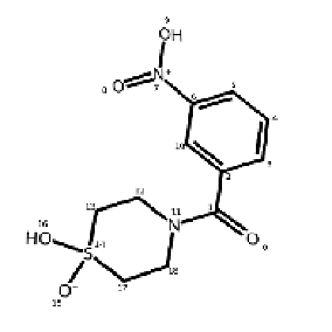 O=C(c1cccc([N+](=O)O)c1)N1CCS([O-])(O)CC1